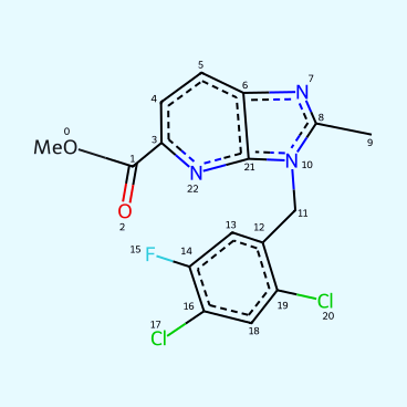 COC(=O)c1ccc2nc(C)n(Cc3cc(F)c(Cl)cc3Cl)c2n1